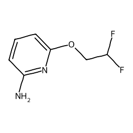 Nc1cccc(OCC(F)F)n1